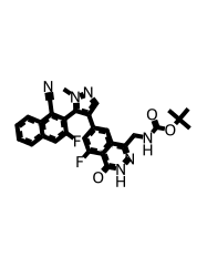 Cn1ncc(-c2cc(F)c3c(=O)[nH]nc(CNC(=O)OC(C)(C)C)c3c2)c1-c1c(F)cc2ccccc2c1C#N